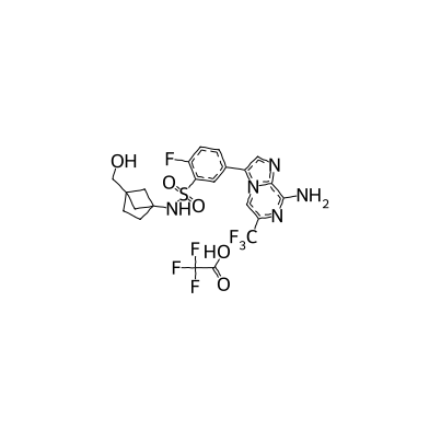 Nc1nc(C(F)(F)F)cn2c(-c3ccc(F)c(S(=O)(=O)NC45CCC(CO)(C4)C5)c3)cnc12.O=C(O)C(F)(F)F